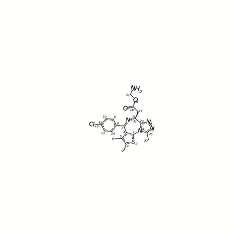 Cc1sc2c(c1C)C(c1ccc(Cl)cc1)=N[C@@H](CC(=O)OCN)c1nnc(C)n1-2